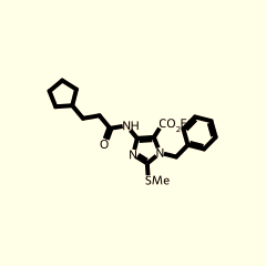 CCOC(=O)c1c(NC(=O)CCC2CCCC2)nc(SC)n1Cc1ccccc1